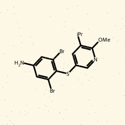 COc1ncc(Sc2c(Br)cc(N)cc2Br)cc1C(C)C